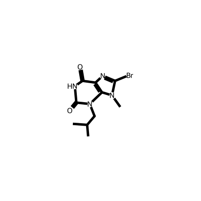 CC(C)Cn1c(=O)[nH]c(=O)c2nc(Br)n(C)c21